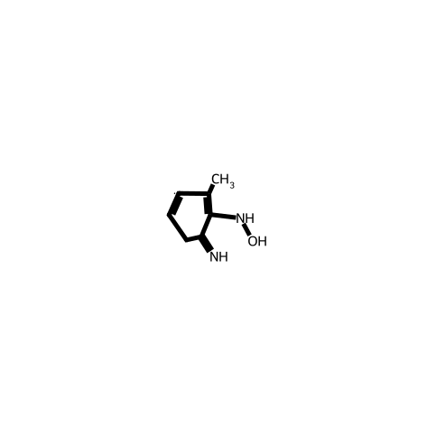 CC1=C(NO)C(=N)CC=[C]1